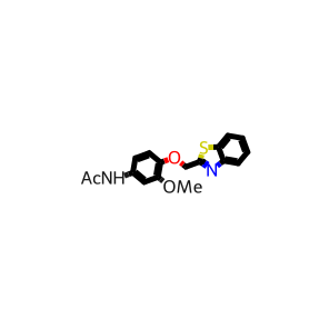 COc1cc(NC(C)=O)ccc1OCc1nc2ccccc2s1